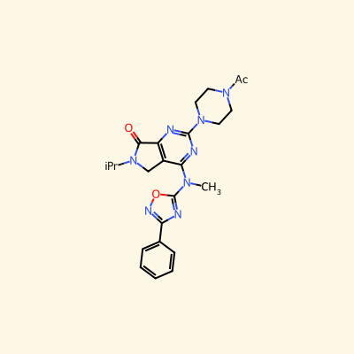 CC(=O)N1CCN(c2nc3c(c(N(C)c4nc(-c5ccccc5)no4)n2)CN(C(C)C)C3=O)CC1